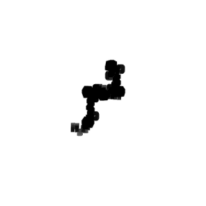 CN1CCN(C(=O)CCCCCOc2ccccc2N(C)C(=O)c2ccc(NC(=O)c3ccccc3OCCCN3C(=O)c4ccccc4C3=O)cc2Cl)CC1